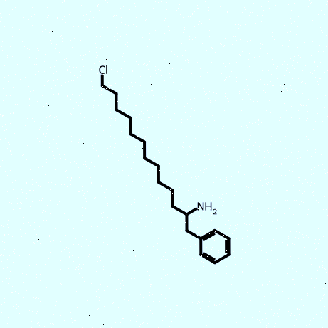 NC(CCCCCCCCCCCCl)Cc1ccccc1